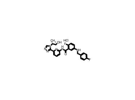 C[C@H](CO)n1cnnc1-c1cccc(NC(=O)c2cc(NCc3ccc(F)cc3)ccc2F)n1.Cl